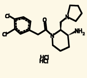 Cl.Cl.N[C@@H]1CCCN(C(=O)Cc2ccc(Cl)c(Cl)c2)[C@H]1CN1CCCC1